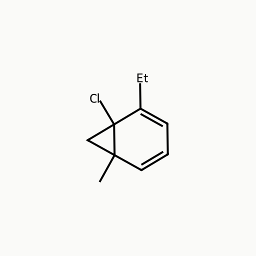 CCC1=CC=CC2(C)CC12Cl